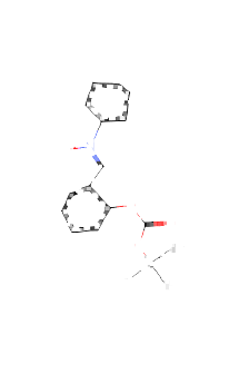 CC(C)[Si](OC(=O)Oc1ccccc1C=[N+]([O-])c1ccccc1)(C(C)C)C(C)C